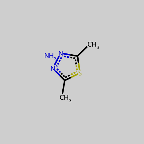 Cc1nnc(C)s1.N